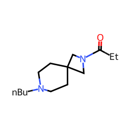 CCCCN1CCC2(CC1)CN(C(=O)CC)C2